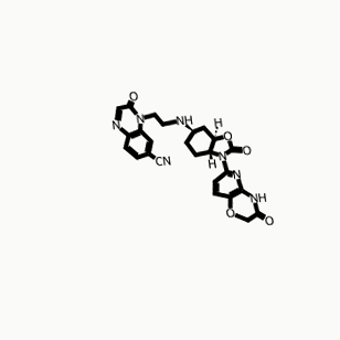 N#Cc1ccc2ncc(=O)n(CCN[C@@H]3CC[C@@H]4[C@@H](C3)OC(=O)N4c3ccc4c(n3)NC(=O)CO4)c2c1